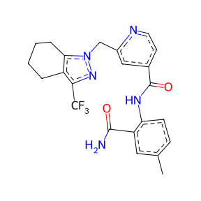 Cc1ccc(NC(=O)c2ccnc(Cn3nc(C(F)(F)F)c4c3CCCC4)c2)c(C(N)=O)c1